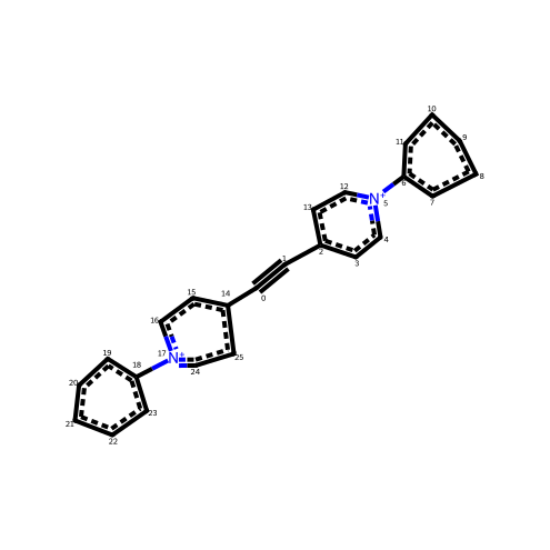 C(#Cc1cc[n+](-c2ccccc2)cc1)c1cc[n+](-c2ccccc2)cc1